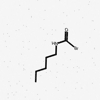 CCCCCNC(=O)Br